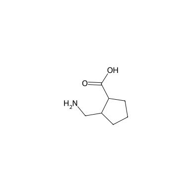 NCC1CCCC1C(=O)O